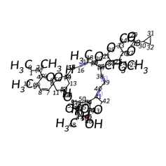 CC[C@H](C)[C@H]1OC2(C=C[C@@H]1C)C[C@@H]1C[C@@H](C/C=C(\C)[C@@H](OC3CC(OC)C(OC(=O)C4CC4)C(C)O3)[C@@H](C)/C=C/C=C3\CO[C@@H]4[C@H](O)C(C)=C[C@@H](C(=O)O1)[C@]34O)O2